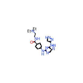 CCN(CC)CCNC(=O)c1ccc(Nc2ncc3nnn(-c4cc[nH]n4)c3n2)cc1